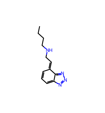 CCCCNCC=c1cccc2c1=NN=N2